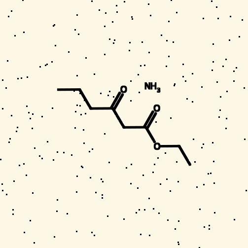 CCCC(=O)CC(=O)OCC.N